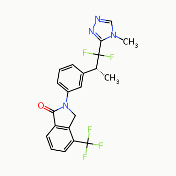 C[C@H](c1cccc(N2Cc3c(cccc3C(F)(F)F)C2=O)c1)C(F)(F)c1nncn1C